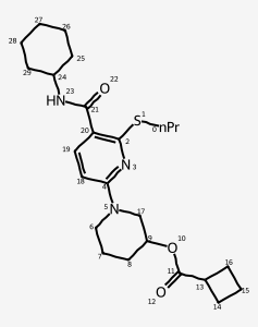 CCCSc1nc(N2CCCC(OC(=O)C3CCC3)C2)ccc1C(=O)NC1CCCCC1